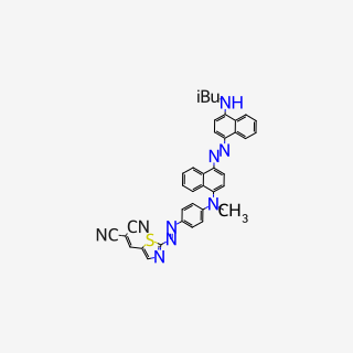 CCC(C)Nc1ccc(/N=N/c2ccc(N(C)c3ccc(/N=N/c4ncc(C=C(C#N)C#N)s4)cc3)c3ccccc23)c2ccccc12